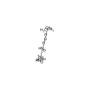 CC(C)(C)CCCOCCOCCOCCCNC(=O)CCCCC1SC[C@@H]2NC(=O)N[C@H]12